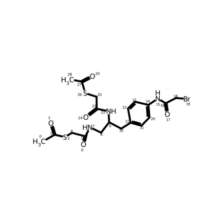 CC(=O)SCC(=O)NCC(Cc1ccc(NC(=O)CBr)cc1)NC(=O)CSC(C)=O